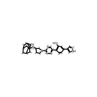 Oc1cc(-c2cn[nH]c2)ccc1-c1cnc(N2CCC(NC34CC5CC(CC(C5)C3)C4)C2)nn1